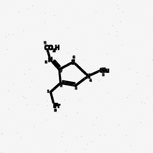 CC(C)Cc1cn(C(C)(C)C)s/c1=N\C(=O)O